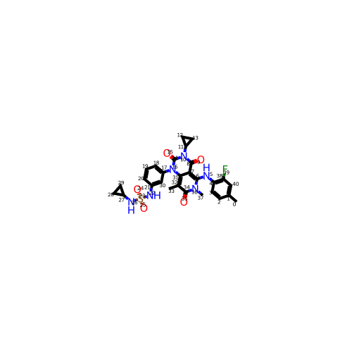 Cc1ccc(Nc2c3c(=O)n(C4CC4)c(=O)n(-c4cccc(NS(=O)(=O)NC5CC5)c4)c3c(C)c(=O)n2C)c(F)c1